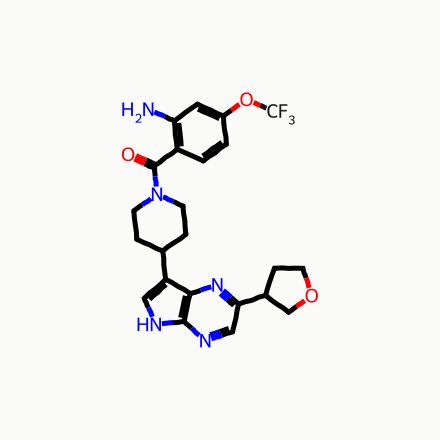 Nc1cc(OC(F)(F)F)ccc1C(=O)N1CCC(c2c[nH]c3ncc(C4CCOC4)nc23)CC1